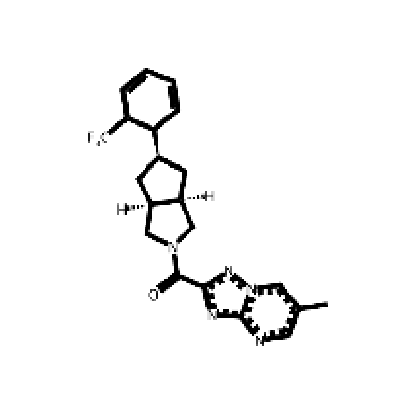 Cc1cnc2nc(C(=O)N3C[C@H]4C[C@@H](C5C=CC=CC5C(F)(F)F)C[C@H]4C3)nn2c1